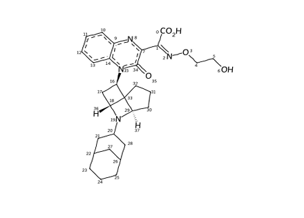 O=C(O)/C(=N\OCCO)c1nc2ccccc2n([C@@H]2C[C@H]3N(C4CC5CCCC(C5)C4)[C@@H]4CCCC432)c1=O